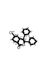 O=c1oc(-c2ccccc2)c(-c2ccccc2)c2cc(Cl)ccc12